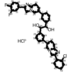 Cl.OC(c1cccc(-c2ccc3nc(-c4ccc(F)c(F)c4)cn3c2)c1)C(O)c1cccc(-c2ccc3nc(-c4ccccc4Cl)cn3c2)c1